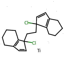 ClC1(CCC2(Cl)C=CC3=C2CCCC3)C=CC2=C1CCCC2.[Ti]